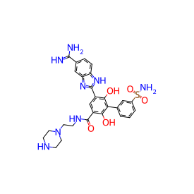 N=C(N)c1ccc2[nH]c(-c3cc(C(=O)NCCN4CCNCC4)c(O)c(-c4cccc(S(N)(=O)=O)c4)c3O)nc2c1